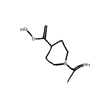 C=C(OO)C1CCN(C(C)=N)CC1